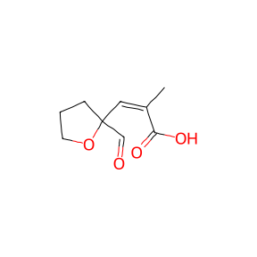 CC(=CC1(C=O)CCCO1)C(=O)O